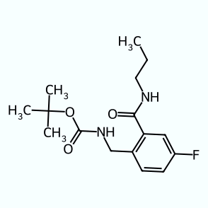 CCCNC(=O)c1cc(F)ccc1CNC(=O)OC(C)(C)C